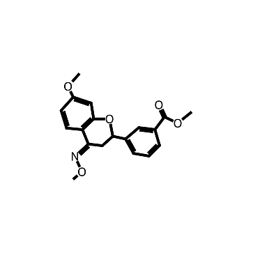 CON=C1CC(c2cccc(C(=O)OC)c2)Oc2cc(OC)ccc21